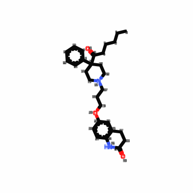 CCCCCC(=O)C1(c2ccccc2)CCN(CCCOc2ccc3c(c2)CCC(=O)N3)CC1